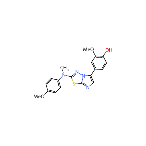 COc1ccc(N(C)c2nn3c(-c4ccc(O)c(OC)c4)cnc3s2)cc1